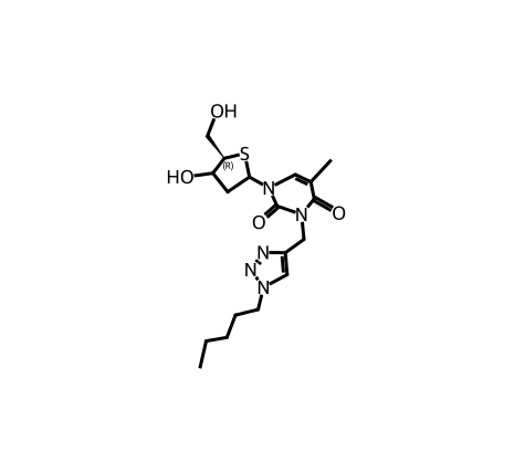 CCCCCn1cc(Cn2c(=O)c(C)cn(C3CC(O)[C@@H](CO)S3)c2=O)nn1